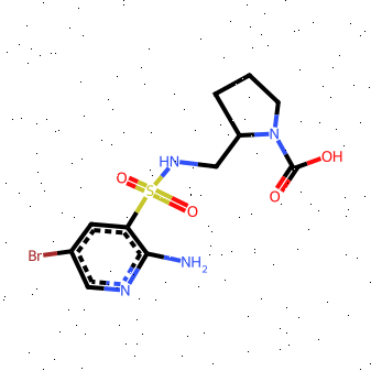 Nc1ncc(Br)cc1S(=O)(=O)NCC1CCCN1C(=O)O